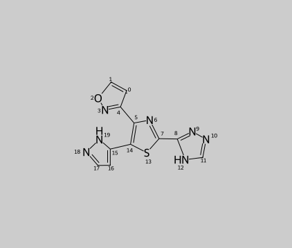 [c]1conc1-c1nc(-c2nnc[nH]2)sc1-c1ccn[nH]1